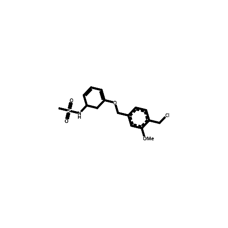 COc1cc(COC2=CC=CC(NS(C)(=O)=O)[CH]2)ccc1CCl